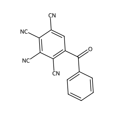 N#Cc1cc(C(=O)c2ccccc2)c(C#N)c(C#N)c1C#N